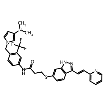 CN(C)c1ccn(Cc2ccc(NC(=O)CCSc3ccc4c(/C=C/c5ccccn5)n[nH]c4c3)cc2C(F)(F)F)c1